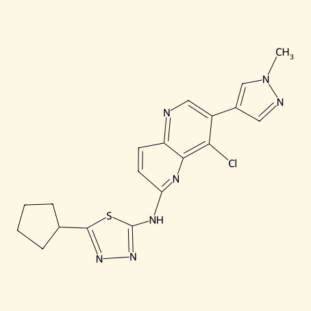 Cn1cc(-c2cnc3ccc(Nc4nnc(C5CCCC5)s4)nc3c2Cl)cn1